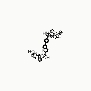 COC(=O)N[C@H](C(=O)N1[C@@H](C)CC[C@H]1c1nc(-c2ccc(-c3ccc4nc(-c5c[nH]c([C@@H]6CC[C@H](C)N6C(=O)[C@H](C(C)C)N(C)C(=O)O)n5)ccc4c3)cc2)c[nH]1)C(C)C